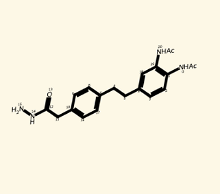 CC(=O)Nc1ccc(CCc2ccc(CC(=O)NN)cc2)cc1NC(C)=O